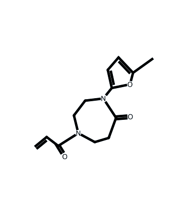 C=CC(=O)N1CCC(=O)N(c2ccc(C)o2)CC1